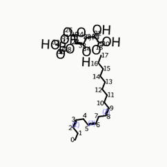 CC/C=C\C/C=C\C/C=C\CCCCCCCCOC(O)[C@H](O)[C@H]1OC(=O)C(OP(=O)(O)O)=C1O